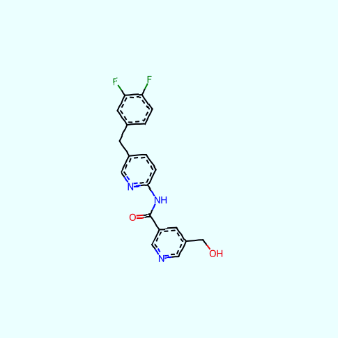 O=C(Nc1ccc(Cc2ccc(F)c(F)c2)cn1)c1cncc(CO)c1